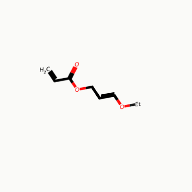 C=CC(=O)OCC=COCC